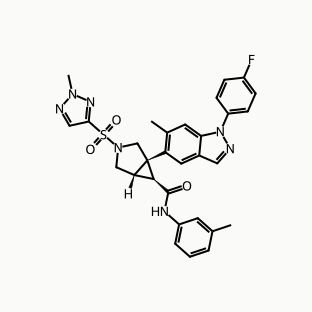 Cc1cccc(NC(=O)[C@H]2[C@@H]3CN(S(=O)(=O)c4cnn(C)n4)C[C@@]32c2cc3cnn(-c4ccc(F)cc4)c3cc2C)c1